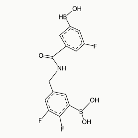 O=C(NCc1cc(F)c(F)c(B(O)O)c1)c1cc(F)cc(BO)c1